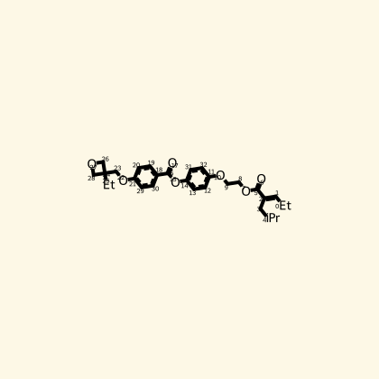 CC/C=C(\CC(C)C)C(=O)OCCOc1ccc(OC(=O)c2ccc(OCC3(CC)COC3)cc2)cc1